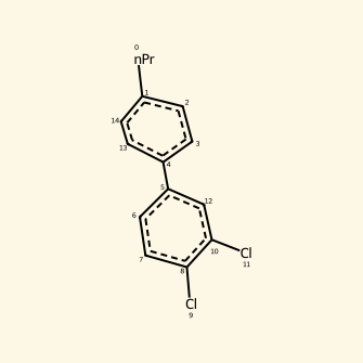 CCCc1ccc(-c2ccc(Cl)c(Cl)c2)cc1